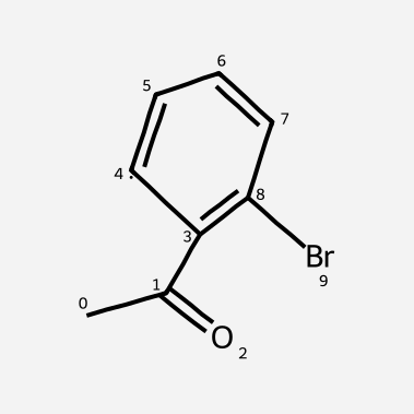 CC(=O)c1[c]cccc1Br